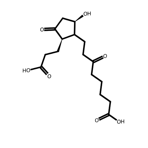 O=C(O)CCCCC(=O)CCC1[C@H](O)CC(=O)[C@@H]1CCC(=O)O